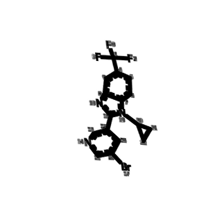 FC(F)(F)c1ccc2c(c1)nc(-c1cncc(Br)c1)n2C1CC1